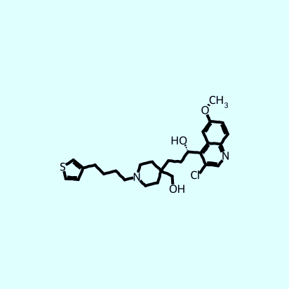 COc1ccc2ncc(Cl)c([C@@H](O)CCC3(CO)CCN(CCCCc4ccsc4)CC3)c2c1